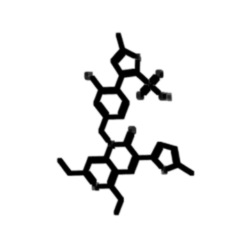 CCc1cc2c(cc(-c3ccc(C)s3)c(=O)n2Cc2ccc(-c3cc(C)sc3S(=O)(=O)O)c(Cl)c2)c(CC)n1